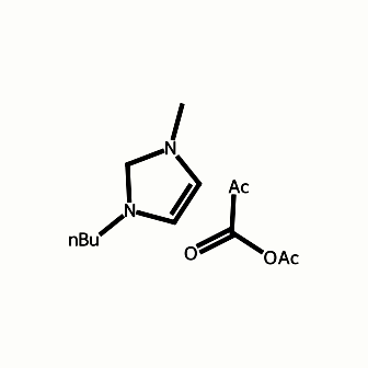 CC(=O)OC(=O)C(C)=O.CCCCN1C=CN(C)C1